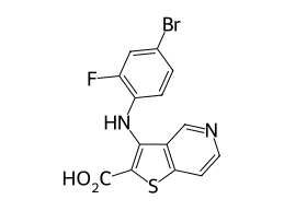 O=C(O)c1sc2ccncc2c1Nc1ccc(Br)cc1F